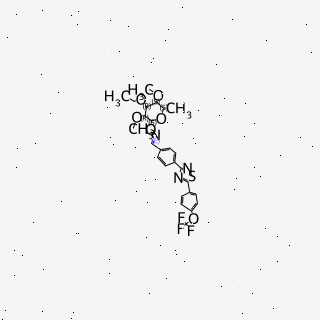 CCO[C@@H]1[C@@H](OC)[C@H](C)O[C@@H](O/N=C/c2ccc(-c3nsc(-c4ccc(OC(F)(F)F)cc4)n3)cc2)[C@@H]1OC